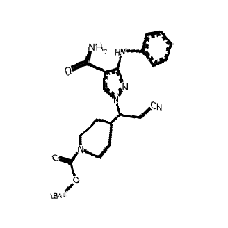 CC(C)(C)OC(=O)N1CCC(C(CC#N)n2cc(C(N)=O)c(Nc3ccccc3)n2)CC1